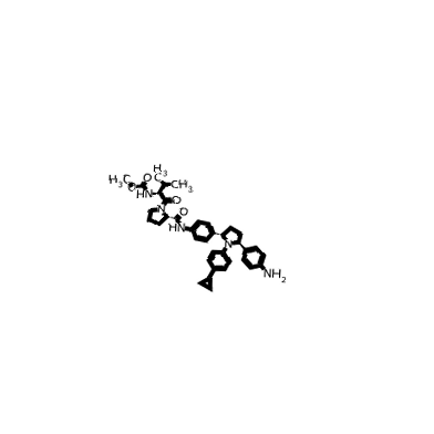 COC(=O)N[C@H](C(=O)N1CCC[C@H]1C(=O)Nc1ccc([C@@H]2CC[C@@H](c3ccc(N)cc3)N2c2ccc(C3CC3)cc2)cc1)C(C)C